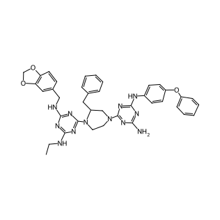 CCNc1nc(NCc2ccc3c(c2)OCO3)nc(N2CCN(c3nc(N)nc(Nc4ccc(Oc5ccccc5)cc4)n3)CC2Cc2ccccc2)n1